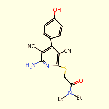 CCN(CC)C(=O)CSc1nc(N)c(C#N)c(-c2ccc(O)cc2)c1C#N